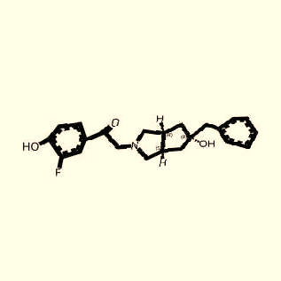 O=C(CN1C[C@@H]2C[C@@](O)(Cc3ccccc3)C[C@@H]2C1)c1ccc(O)c(F)c1